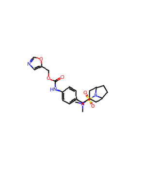 CN(C)S(=O)(=O)N1C2CCC1CC(Cc1ccc(NC(=O)OCc3cnco3)cc1)C2